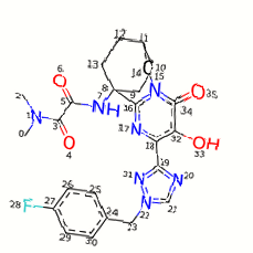 CN(C)C(=O)C(=O)NC12CCC(CC1)Cn1c2nc(-c2ncn(Cc3ccc(F)cc3)n2)c(O)c1=O